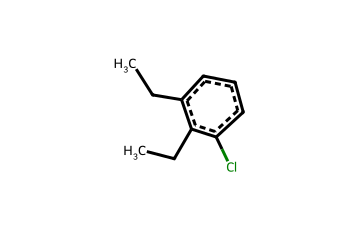 CCc1cccc(Cl)c1CC